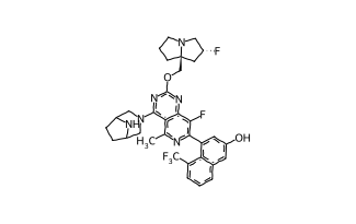 Cc1nc(-c2cc(O)cc3cccc(C(F)(F)F)c23)c(F)c2nc(OC[C@@]34CCCN3C[C@H](F)C4)nc(N3CC4CCC(C3)N4)c12